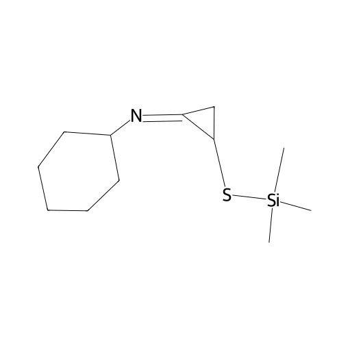 C[Si](C)(C)SC1CC1=NC1CCCCC1